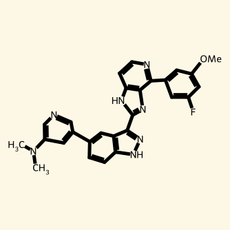 COc1cc(F)cc(-c2nccc3[nH]c(-c4n[nH]c5ccc(-c6cncc(N(C)C)c6)cc45)nc23)c1